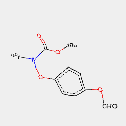 CCCN(Oc1ccc(OC=O)cc1)C(=O)OC(C)(C)C